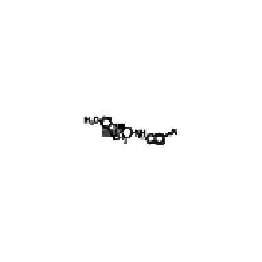 Cc1ccc2c(c1)NC(C)(C1CCC(NC[C@H]3Cc4ccc(C#N)cc4C3)CC1)N2